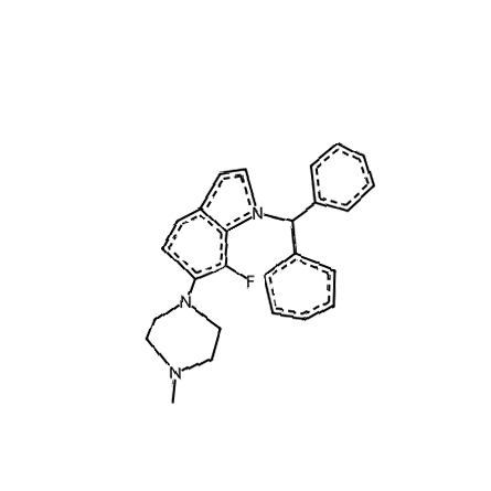 CN1CCN(c2ccc3ccn(C(c4ccccc4)c4ccccc4)c3c2F)CC1